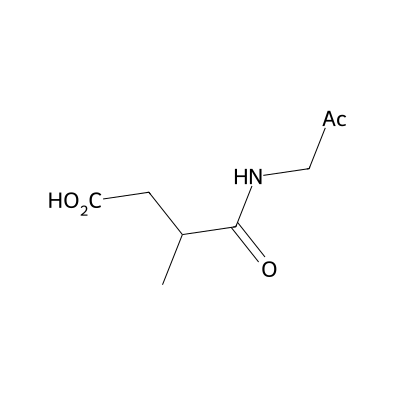 CC(=O)CNC(=O)C(C)CC(=O)O